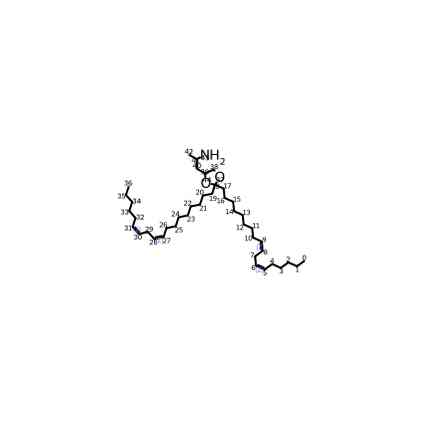 CCCCC/C=C\C/C=C\CCCCCCCCC1(CCCCCCCC/C=C\C/C=C\CCCCC)OCC(CC(C)N)O1